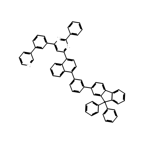 c1ccc(-c2nc(-c3cccc(-c4cccnc4)c3)cc(-c3ccc(-c4cccc(-c5ccc6c(c5)C(c5ccccc5)(c5ccccc5)c5ccccc5-6)c4)c4ccccc34)n2)cc1